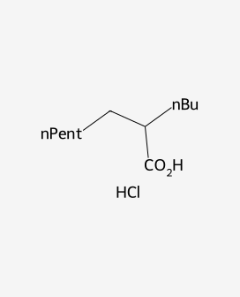 CCCCCCC(CCCC)C(=O)O.Cl